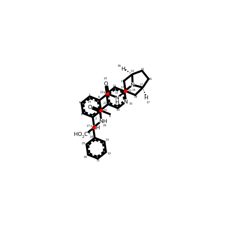 Cc1c(NC(=O)O)cccc1C(=O)N[C@H]1C[C@H]2CC[C@@H](C1)N2c1ccc(C(=O)NCc2ccccc2)cn1